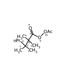 CCCC(C)(C)C(C)(C)C(=O)OOC(C)=O